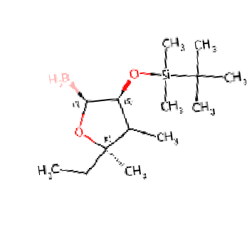 B[C@@H]1O[C@](C)(CC)C(C)[C@@H]1O[Si](C)(C)C(C)(C)C